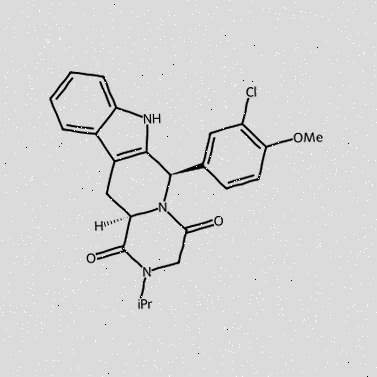 COc1ccc([C@@H]2c3[nH]c4ccccc4c3C[C@@H]3C(=O)N(C(C)C)CC(=O)N23)cc1Cl